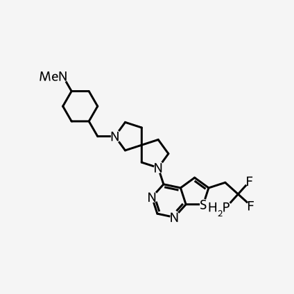 CNC1CCC(CN2CCC3(CCN(c4ncnc5sc(CC(F)(F)P)cc45)C3)C2)CC1